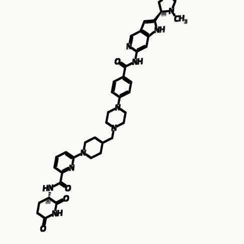 CN1CCC[C@@H]1c1cc2cnc(NC(=O)c3ccc(N4CCN(CC5CCN(c6cccc(C(=O)N[C@H]7CCC(=O)NC7=O)n6)CC5)CC4)cc3)cc2[nH]1